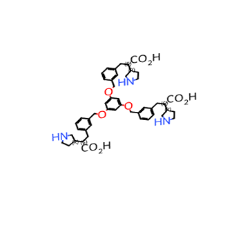 O=C(O)[C@@H](Cc1cccc(COc2cc(OCc3cccc(C[C@H](C(=O)O)[C@H]4CCNC4)c3)cc(OCc3cccc(C[C@H](C(=O)O)[C@H]4CCNC4)c3)c2)c1)[C@H]1CCNC1